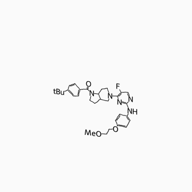 COCCOc1ccc(Nc2ncc(F)c(N3CCC4C(CCN4C(=O)c4ccc(C(C)(C)C)cc4)C3)n2)cc1